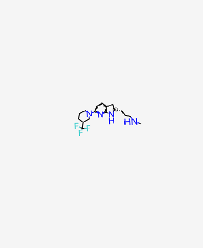 CNCCC[C@H]1Cc2ccc(N3CCCC(C(F)(F)F)C3)nc2N1